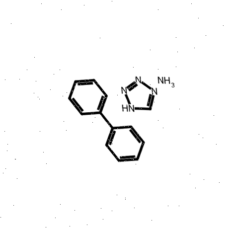 N.c1ccc(-c2ccccc2)cc1.c1nnn[nH]1